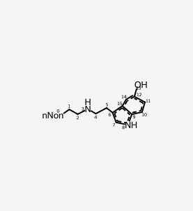 CCCCCCCCCCCNCCc1c[nH]c2ccc(O)cc12